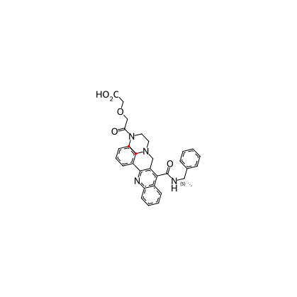 C[C@H](NC(=O)c1c(CN2CCN(C(=O)COCC(=O)O)CC2)c(-c2ccccc2)nc2ccccc12)c1ccccc1